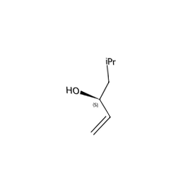 C=C[C@@H](O)CC(C)C